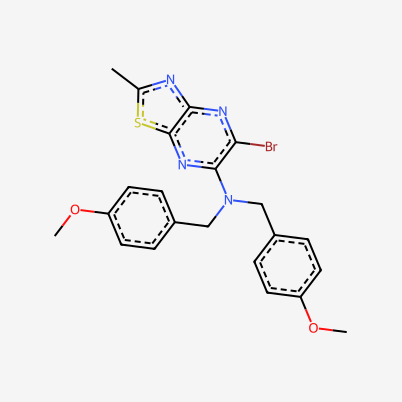 COc1ccc(CN(Cc2ccc(OC)cc2)c2nc3sc(C)nc3nc2Br)cc1